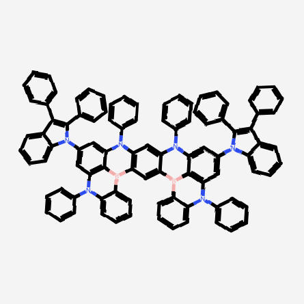 c1ccc(-c2c(-c3ccccc3)n(-c3cc4c5c(c3)N(c3ccccc3)c3cc6c(cc3B5c3ccccc3N4c3ccccc3)B3c4ccccc4N(c4ccccc4)c4cc(-n5c(-c7ccccc7)c(-c7ccccc7)c7ccccc75)cc(c43)N6c3ccccc3)c3ccccc23)cc1